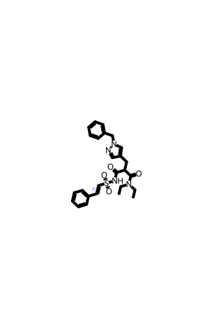 CCN(CC)C(=O)C(Cc1cnn(Cc2ccccc2)c1)C(=O)NS(=O)(=O)/C=C/c1ccccc1